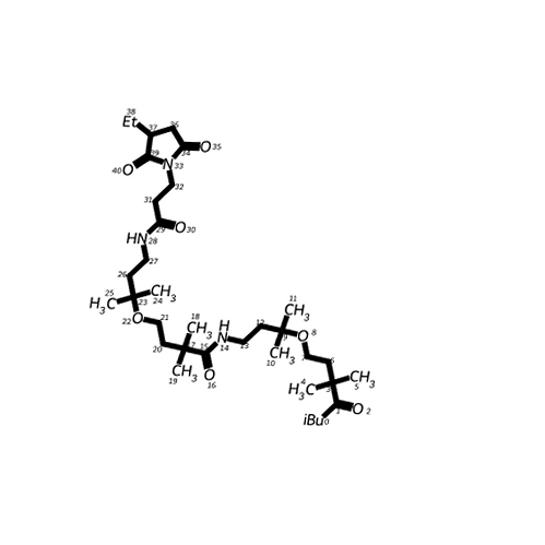 CCC(C)C(=O)C(C)(C)CCOC(C)(C)CCNC(=O)C(C)(C)CCOC(C)(C)CCNC(=O)CCN1C(=O)CC(CC)C1=O